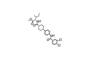 CCC(C)[C@H](NC(=O)[C@H]1CC[C@@H](c2ccc(NC(=O)c3ccc(Cl)c(Cl)c3)cc2)CC1)C(=O)OC